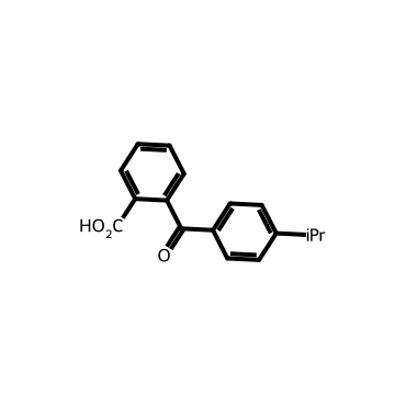 CC(C)c1ccc(C(=O)c2ccccc2C(=O)O)cc1